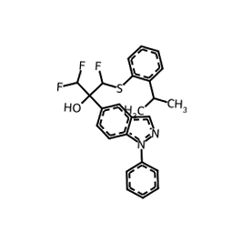 CC(C)c1ccccc1SC(F)C(O)(c1ccc2c(cnn2-c2ccccc2)c1)C(F)F